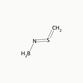 BN=S=C